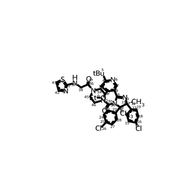 CCOc1cc(C(C)(C)C)ncc1C1=N[C@@](C)(c2ccc(Cl)cc2)[C@@](C)(c2ccc(Cl)cc2)N1C(=O)N1CCN(C(=O)CNc2nccs2)CC1